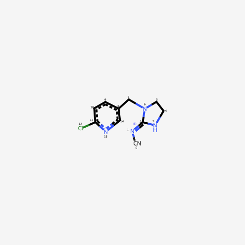 N#C/N=C1\NCCN1Cc1ccc(Cl)nc1